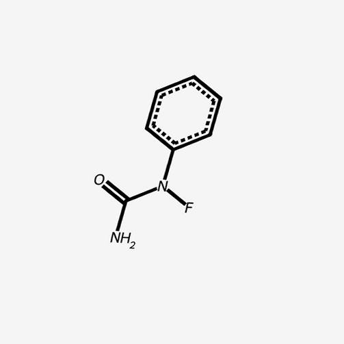 NC(=O)N(F)c1ccccc1